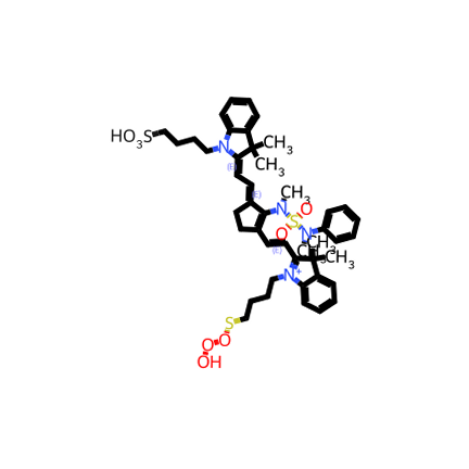 CN(C1=C(/C=C/C2=[N+](CCCCSOOO)c3ccccc3C2(C)C)CC/C1=C\C=C1\N(CCCCS(=O)(=O)O)c2ccccc2C1(C)C)S(=O)(=O)N(C)c1ccccc1